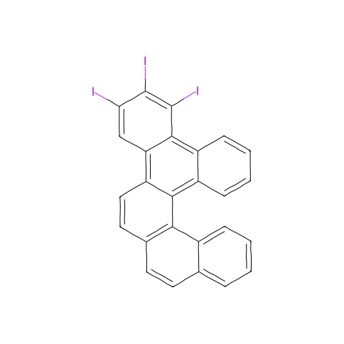 Ic1cc2c3ccc4ccc5ccccc5c4c3c3ccccc3c2c(I)c1I